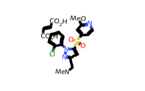 CNCc1cc(S(=O)(=O)c2ccnc(OC)c2)n(-c2ccccc2Cl)n1.O=C(O)C=CC(=O)O